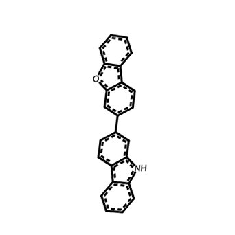 c1ccc2c(c1)[nH]c1cc(-c3ccc4c(c3)oc3ccccc34)ccc12